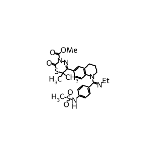 CC/N=C(/c1ccc(NS(C)(=O)=O)cc1)N1CCCc2cc(C3=NN(C(=O)OC)C(=O)SC3(C)C)ccc21